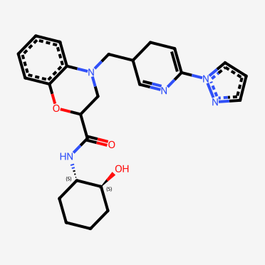 O=C(N[C@H]1CCCC[C@@H]1O)C1CN(CC2C=NC(n3cccn3)=CC2)c2ccccc2O1